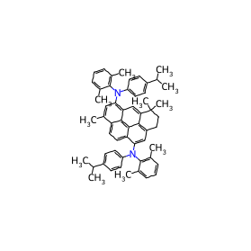 Cc1cccc(C)c1N(c1ccc(C(C)C)cc1)c1cc(C)c2ccc3c(N(c4ccc(C(C)C)cc4)c4c(C)cccc4C)cc4c5c(cc1c2c35)C(C)(C)CC4